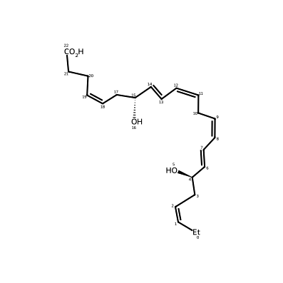 CC/C=C\C[C@@H](O)/C=C/C=C\C/C=C\C=C\[C@H](O)C/C=C\CCC(=O)O